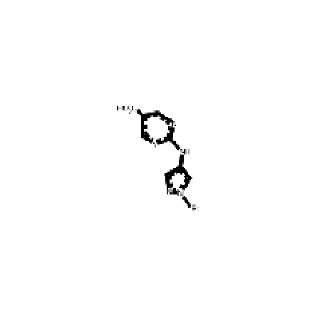 CC(C)n1cc(Nc2ncc(C(=O)O)cn2)cn1